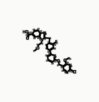 COCCn1c(Cc2ccc(-c3cccc(OCc4cnc(Cl)nc4OC)n3)cc2F)nc2ccc(C(=O)O)cc21